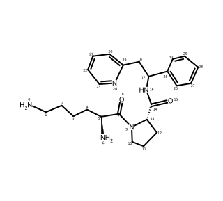 NCCCC[C@H](N)C(=O)N1CCC[C@H]1C(=O)NC(Cc1ccccn1)c1ccccc1